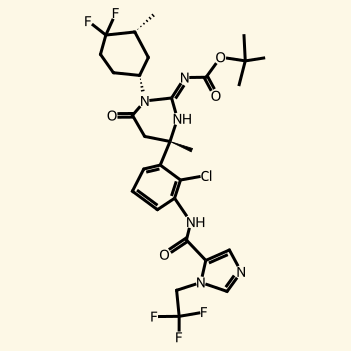 C[C@@H]1C[C@H](N2C(=O)C[C@@](C)(c3cccc(NC(=O)c4cncn4CC(F)(F)F)c3Cl)N/C2=N\C(=O)OC(C)(C)C)CCC1(F)F